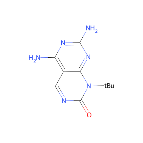 CC(C)(C)n1c(=O)ncc2c(N)nc(N)nc21